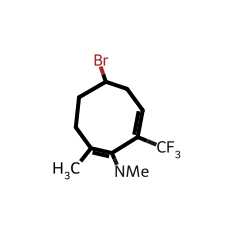 CNC1=C(\C)CCC(Br)C/C=C\1C(F)(F)F